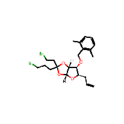 C=CC[C@H]1O[C@@H]2OC(CCBr)(CCCBr)O[C@@H]2[C@H]1OCc1c(C)cccc1C